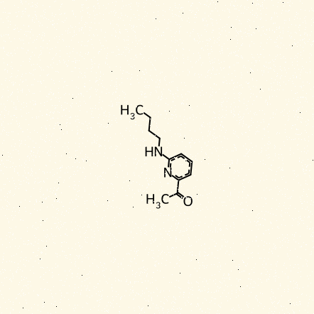 CCCCNc1cccc(C(C)=O)n1